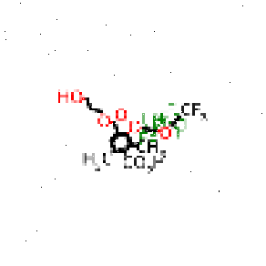 Cc1cc(C(=O)OCCCO)c(OC(F)(F)C(F)(Br)OC(F)(F)C(F)(F)C(F)(F)F)c(C)c1C(=O)O